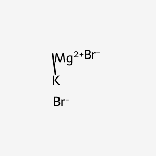 [Br-].[Br-].[CH3][K].[Mg+2]